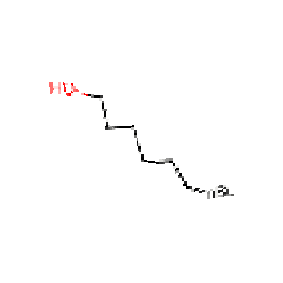 CCCCCCCCC[CH]O